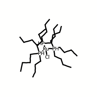 CCCC[PH](CCCC)(CCCC)[Ru]([Cl])([PH](CCCC)(CCCC)CCCC)[PH](CCCC)(CCCC)CCCC